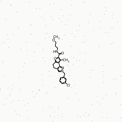 COCCCNC(=O)c1oc2c(c1C)-c1nn(Cc3cccc(Cl)c3)cc1CC2